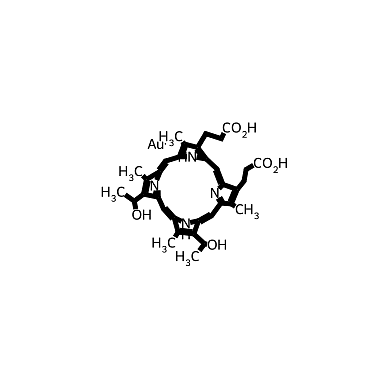 CC1=C(CCC(=O)O)c2cc3[nH]c(cc4nc(cc5[nH]c(cc1n2)c(C(C)O)c5C)C(C(C)O)=C4C)c(C)c3CCC(=O)O.[Au]